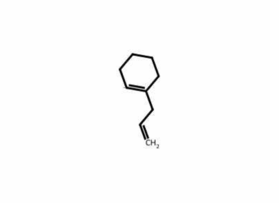 C=CCC1=[C]CCCC1